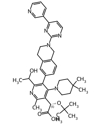 Cc1nc(C(C)O)c(-c2ccc3c(c2)CCN(c2nccc(-c4cccnc4)n2)C3)c(N2CCC(C)(C)CC2)c1[C@H](OC(C)(C)C)C(=O)O